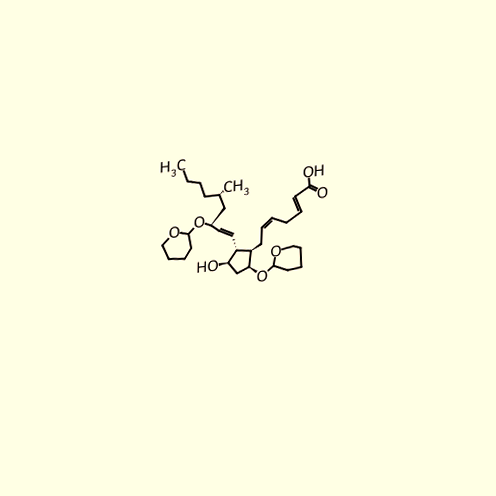 CCCC[C@H](C)C[C@@H](/C=C/[C@@H]1[C@@H](C/C=C\C/C=C/C(=O)O)[C@@H](OC2CCCCO2)C[C@H]1O)OC1CCCCO1